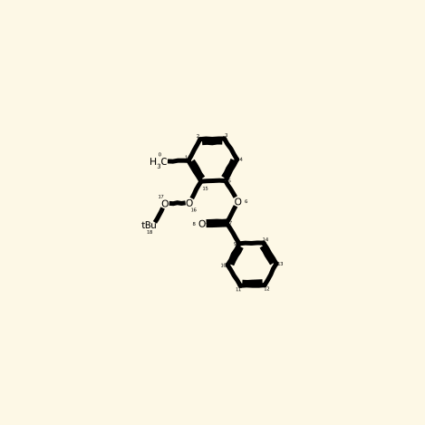 Cc1cccc(OC(=O)c2ccccc2)c1OOC(C)(C)C